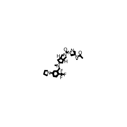 CC(=O)N(C)c1cnn(C(=O)N2C[C@H]3C[C@@H](N(C)Cc4cc(N5CCCC5)ccc4C(F)(F)F)C[C@H]3C2)c1